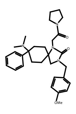 COc1ccc(CN2CC3(CCC(c4ccccc4)(N(C)C)CC3)N(CC(=O)N3CCCC3)C2=O)cc1